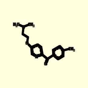 Cc1ccc(C(=O)c2ccc(OCCN(C)C)cn2)cc1